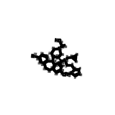 CCn1cncc1CCN(CC1CC1)C(=O)[C@H]1CN(B(C)O)CCN1C1c2ccc(Cl)cc2CCc2cc(Br)cnc21